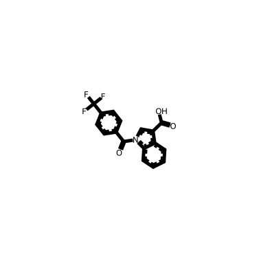 O=C(O)c1cn(C(=O)c2ccc(C(F)(F)F)cc2)c2ccccc12